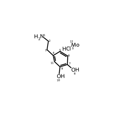 Cl.NCCc1ccc(O)c(O)c1.[Mo]